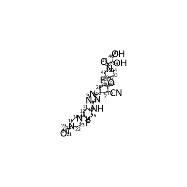 N#Cc1cc(-c2ncnc(Nc3ccc(N4CCN(C5COC5)CC4)c(F)c3)n2)ccc1OC1CCN(C(=O)C(O)CO)C[C@H]1F